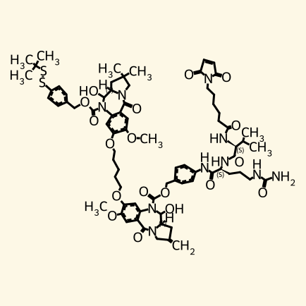 C=C1C[C@H]2C(O)N(C(=O)OCc3ccc(NC(=O)[C@H](CCCNC(N)=O)NC(=O)[C@@H](NC(=O)CCCCCN4C(=O)C=CC4=O)C(C)C)cc3)c3cc(OCCCCCOc4cc5c(cc4OC)C(=O)N4CC(C)(C)C[C@H]4C(O)N5C(=O)OCc4ccc(SSC(C)(C)C)cc4)c(OC)cc3C(=O)N2C1